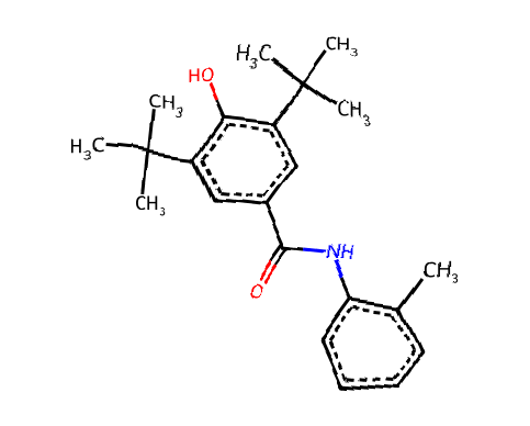 Cc1ccccc1NC(=O)c1cc(C(C)(C)C)c(O)c(C(C)(C)C)c1